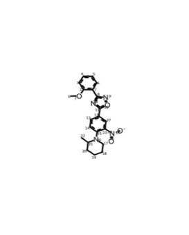 COc1ccccc1-c1noc(-c2ccc(N3CCCCC3C)c([N+](=O)[O-])c2)n1